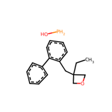 CCC1(Cc2ccccc2-c2ccccc2)COC1.OP